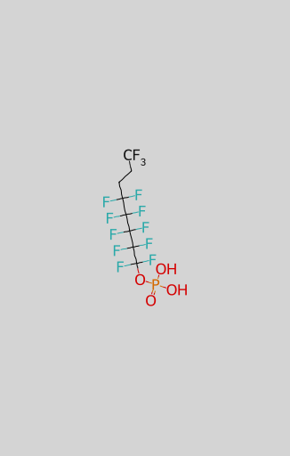 O=P(O)(O)OC(F)(F)C(F)(F)C(F)(F)C(F)(F)C(F)(F)CCC(F)(F)F